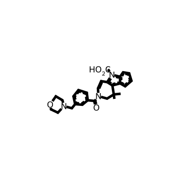 CC1(C)CN(C(=O)c2cccc(CN3CCOCC3)c2)C=Cc2c1c1ccccc1n2C(=O)O